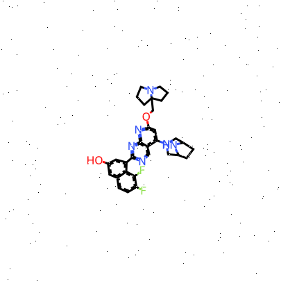 Oc1cc(-c2ncc3c(N4CC5CCC(C4)N5)cc(OCC45CCCN4CCC5)nc3n2)c2c(F)c(F)ccc2c1